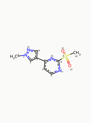 Cn1cc(-c2ccnc(S(C)(=O)=O)n2)cn1